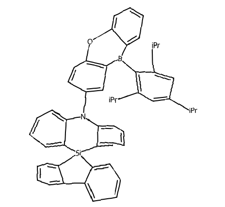 CC(C)c1cc(C(C)C)c(B2c3ccccc3Oc3ccc(N4c5ccccc5[Si]5(c6ccccc6-c6ccccc65)c5ccccc54)cc32)c(C(C)C)c1